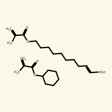 C=C(C)C(=O)OC1CCCCC1.C=C(C)C(=O)OCCCCCCCCC=CCCCCCCCC